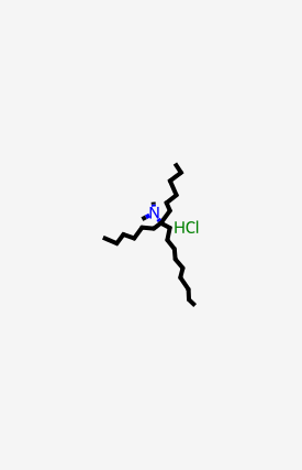 CCCCCCCCCC(CCCCCC)(CCCCCC)N(C)C.Cl